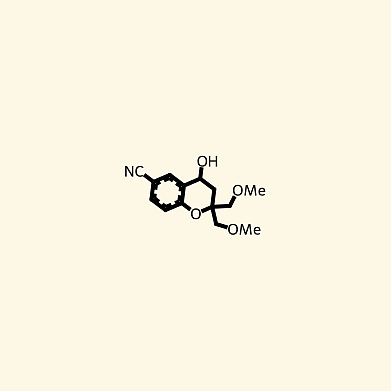 COCC1(COC)CC(O)c2cc(C#N)ccc2O1